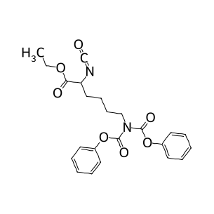 CCOC(=O)C(CCCCN(C(=O)Oc1ccccc1)C(=O)Oc1ccccc1)N=C=O